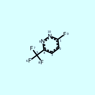 Fc1ccc(C(F)(F)F)nn1